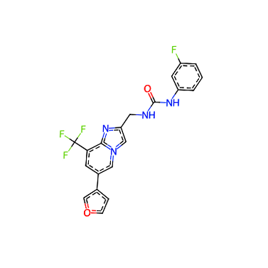 O=C(NCc1cn2cc(-c3ccoc3)cc(C(F)(F)F)c2n1)Nc1cccc(F)c1